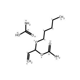 C=CC(OCCCCC)OC(N)=O.NC(=O)O